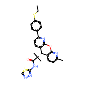 CCSc1ccc(-c2ccc3c(n2)Oc2nc(C)ccc2[C@@H]3C(C)(C)C(=O)Nc2nncs2)cc1